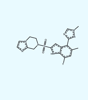 Cc1cc(F)c2[nH]c(S(=O)(=O)N3CCn4ccnc4C3)cc2c1-c1ncn(C)n1